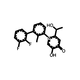 Cc1c(-c2cccc(F)c2F)cccc1-n1cc(O)c(=O)cc1C(C)O